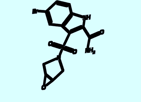 NC(=O)c1[nH]c2ccc(Br)cc2c1S(=O)(=O)N1CC2OC2C1